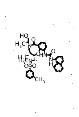 Cc1cccc(S(=O)(=O)N(C)C[C@@H]2Oc3c(NC(=O)Nc4cccc5ccccc45)cccc3C(=O)N([C@@H](C)CO)C[C@H]2C)c1